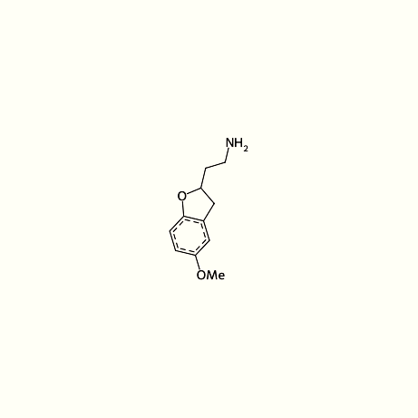 COc1ccc2c(c1)CC(CCN)O2